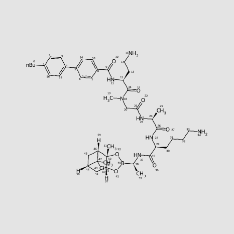 CCCCc1ccc(-c2ccc(C(=O)N[C@@H](CCN)C(=O)N(C)CC(=O)N[C@@H](C)C(=O)N[C@@H](CCCCN)C(=O)N[C@@H](C)B3O[C@@H]4C[C@@H]5C[C@@H](C5(C)C)[C@]4(C)O3)cc2)cc1